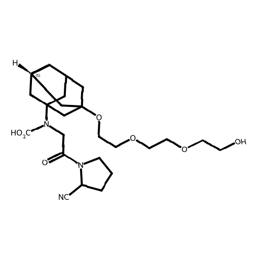 N#CC1CCCN1C(=O)CN(C(=O)O)C12CC3C[C@H](CC(OCCOCCOCCO)(C3)C1)C2